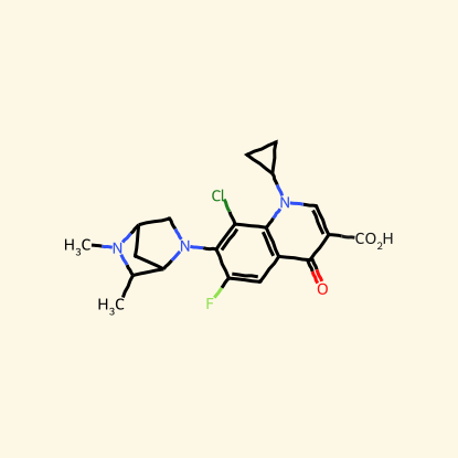 CC1C2CC(CN2c2c(F)cc3c(=O)c(C(=O)O)cn(C4CC4)c3c2Cl)N1C